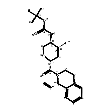 C=C[C@H]1c2ccccc2CCN1C(=O)[C@H]1C[C@@H](F)[C@H](NC(=O)OC(C)(C)C)CO1